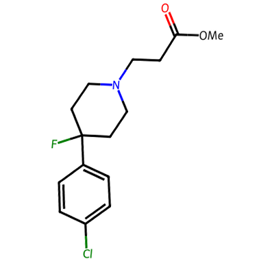 COC(=O)CCN1CCC(F)(c2ccc(Cl)cc2)CC1